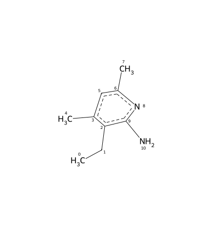 CCc1c(C)cc(C)nc1N